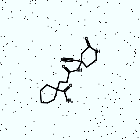 N#CC1(NC(=O)[CH]CC2(C(N)=O)CCCCC2)CCNC(=O)C1